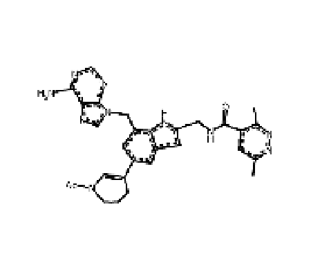 CC(=O)N1C=C(c2cc(Cn3cnc4c(N)ncnc43)c3[nH]c(CNC(=O)c4cc(C)nnc4C)cc3c2)CCC1